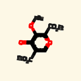 CCCCOc1c(C(=O)OCC)occ(C(=O)OCC)c1=O